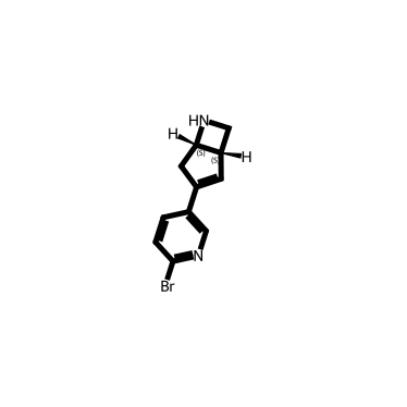 Brc1ccc(C2=C[C@H]3CN[C@H]3C2)cn1